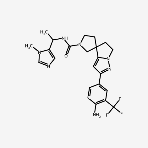 CC(NC(=O)N1CCC2(CCn3nc(-c4cnc(N)c(C(F)(F)F)c4)cc32)C1)c1cncn1C